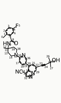 Cc1ccc(F)cc1C(=O)NC1(C)CCN(c2ccc(-c3cc(C#CC(C)(C)O)cn4ncc(C#N)c34)cn2)CC1